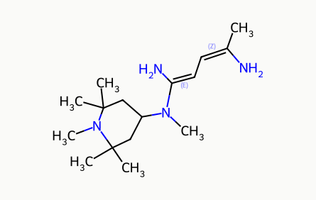 C/C(N)=C/C=C(\N)N(C)C1CC(C)(C)N(C)C(C)(C)C1